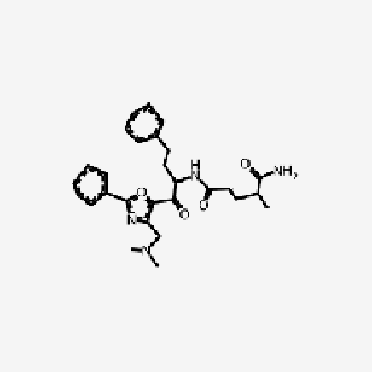 CC(C[CH]C(=O)NC(CCc1ccccc1)C(=O)c1oc(-c2ccccc2)nc1CN(C)C)C(N)=O